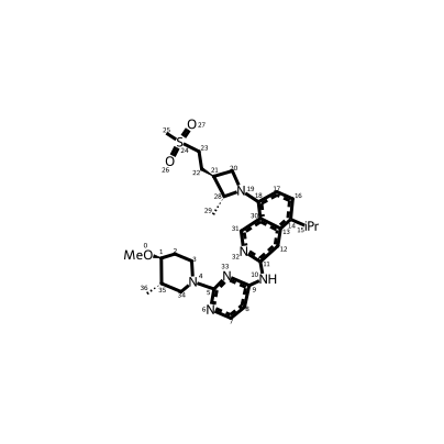 CO[C@H]1CCN(c2nccc(Nc3cc4c(C(C)C)ccc(N5C[C@H](CCS(C)(=O)=O)[C@H]5C)c4cn3)n2)C[C@@H]1C